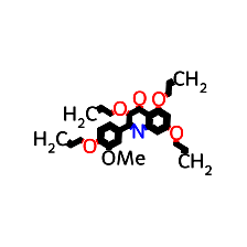 C=CCOc1cc2c(c(OCC=C)c1)C(=O)C(OCC=C)C(c1ccc(OCC=C)c(OC)c1)=N2